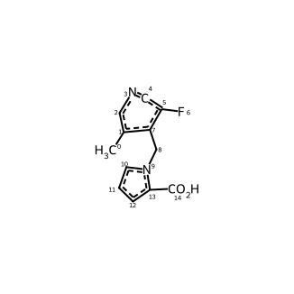 Cc1cncc(F)c1Cn1cccc1C(=O)O